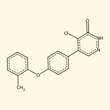 Cc1ccccc1Oc1ccc(-c2cn[nH]c(=O)c2Cl)cc1